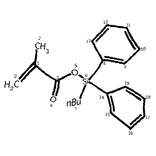 C=C(C)C(=O)O[Si](CCCC)(c1ccccc1)c1ccccc1